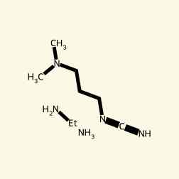 CCN.CN(C)CCCN=C=N.N